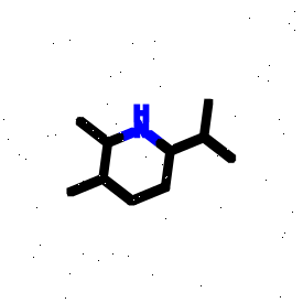 CC(C)C1CCC(C)C(C)N1